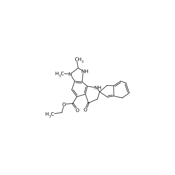 CCOC(=O)c1cc2c(c3c1C(=O)CC1(C=C4CC=CC=C4C1)N3)NC(C)N2C